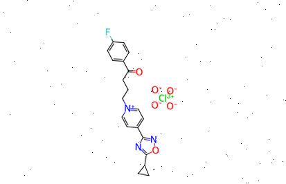 O=C(CCC[n+]1ccc(-c2noc(C3CC3)n2)cc1)c1ccc(F)cc1.[O-][Cl+3]([O-])([O-])[O-]